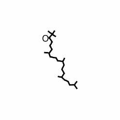 CC(C)CCCC(C)CCCC(C)CCCC(C)CCCC(=O)C(C)(C)C